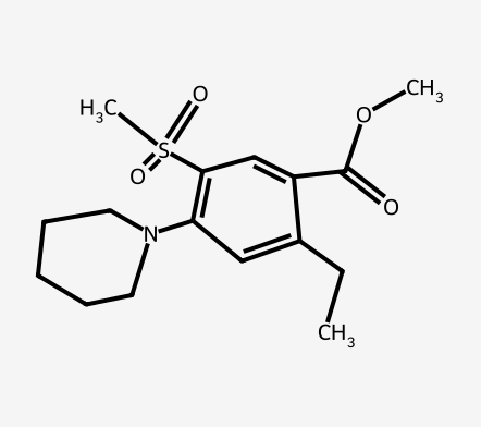 CCc1cc(N2CCCCC2)c(S(C)(=O)=O)cc1C(=O)OC